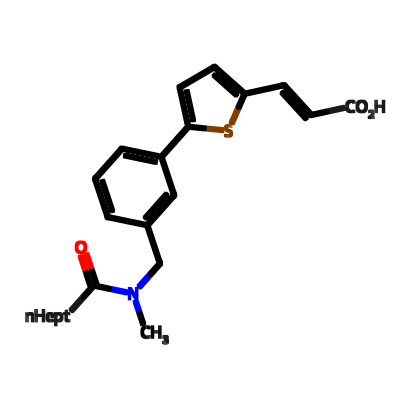 CCCCCCCC(=O)N(C)Cc1cccc(-c2ccc(C=CC(=O)O)s2)c1